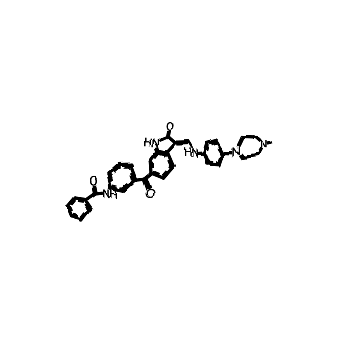 CN1CCN(c2ccc(N/C=C3/C(=O)Nc4cc(C(=O)c5cccc(NC(=O)c6ccccc6)c5)ccc43)cc2)CC1